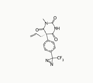 C=CC[C@@]1(c2ccc(C3(C(F)(F)F)N=N3)cc2)C(=O)NC(=O)N(C)C1=O